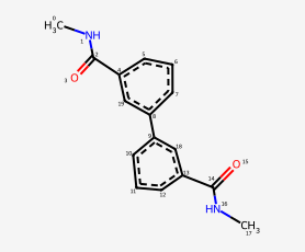 CNC(=O)c1cccc(-c2cccc(C(=O)NC)c2)c1